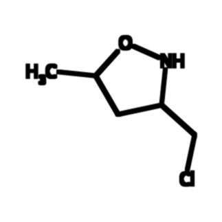 CC1CC(CCl)NO1